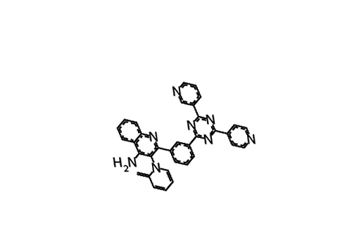 C=C1C=CC=CN1c1c(-c2cccc(-c3nc(-c4ccncc4)nc(-c4cccnc4)n3)c2)nc2ccccc2c1N